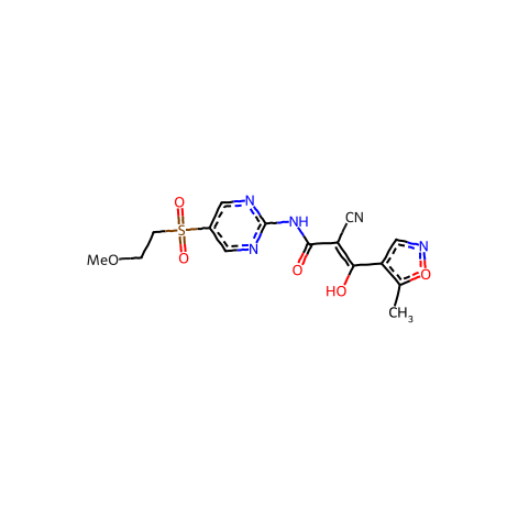 COCCS(=O)(=O)c1cnc(NC(=O)/C(C#N)=C(\O)c2cnoc2C)nc1